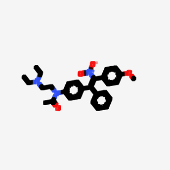 CCN(CC)CCN(C(C)=O)c1ccc(C(=C(c2ccc(OC)cc2)[N+](=O)[O-])c2ccccc2)cc1